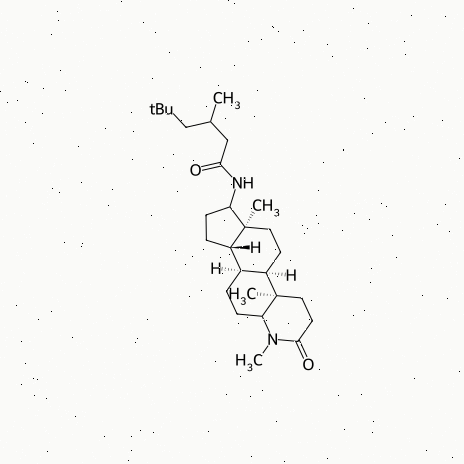 CC(CC(=O)NC1CC[C@H]2[C@@H]3CCC4N(C)C(=O)CC[C@]4(C)[C@@H]3CC[C@]12C)CC(C)(C)C